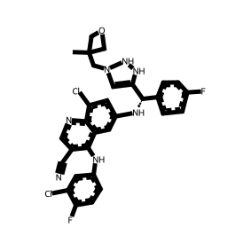 CC1(CN2C=C([C@@H](Nc3cc(Cl)c4ncc(C#N)c(Nc5ccc(F)c(Cl)c5)c4c3)c3ccc(F)cc3)NN2)COC1